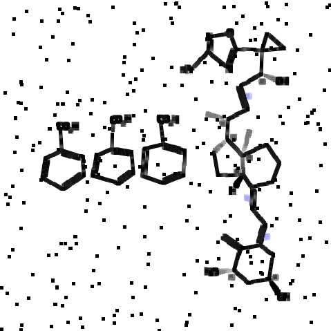 C=C1/C(=C\C=C2/CCC[C@]3(C)[C@@H]([C@H](C)/C=C/[C@@H](O)C4(c5nc(CCC)no5)CC4)CC[C@@H]23)C[C@@H](O)C[C@@H]1O.O=C(O)c1ccccc1.O=C(O)c1ccccc1.O=C(O)c1ccccc1